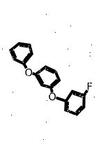 Fc1cccc(Oc2cccc(Oc3ccccc3)c2)c1